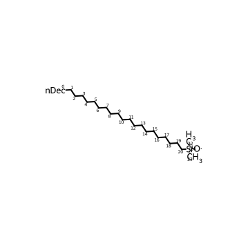 CCCCCCCCCCCCCCCCCCCCCCCCCCCCCC[Si](C)(C)[O]